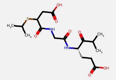 CC(C)SC(CC(=O)O)C(=O)NCC(=O)N[C@@H](CCC(=O)O)C(=O)C(C)C